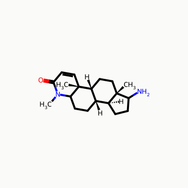 CN1C(=O)C=C[C@@]2(C)C1CC[C@@H]1[C@H]2CC[C@]2(C)C(N)CC[C@@H]12